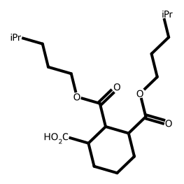 CC(C)CCCOC(=O)C1CCCC(C(=O)O)C1C(=O)OCCCC(C)C